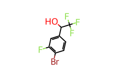 OC(c1ccc(Br)c(F)c1)C(F)(F)F